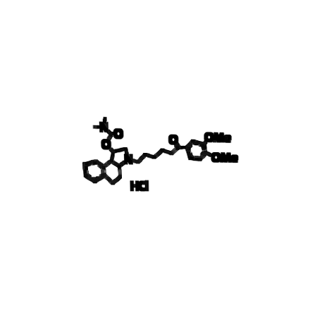 COc1ccc(C(=O)CCCCCN2CC(OC(=O)N(C)C)C3c4ccccc4CCC32)cc1OC.Cl